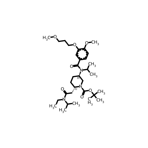 CCN(C(=O)C[C@@H]1CC[C@@H](N(C(=O)c2ccc(OC)c(OCCCOC)c2)C(C)C)CN1C(=O)OC(C)(C)C)C(C)C